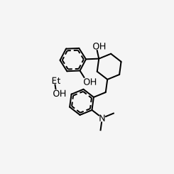 CCO.CN(C)c1ccccc1CC1CCCC(O)(c2ccccc2O)C1